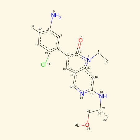 CCn1c(=O)c(-c2cc(N)c(C)cc2Cl)cc2cnc(N[C@H](C)COC)cc21